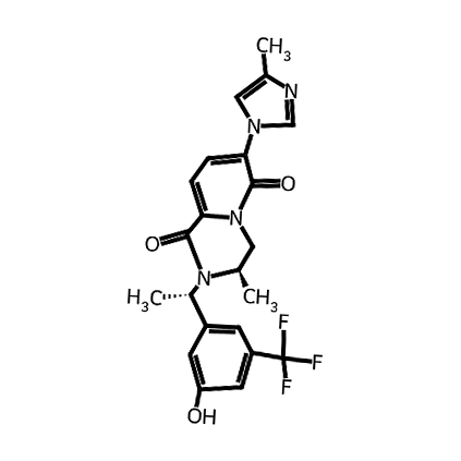 Cc1cn(-c2ccc3n(c2=O)C[C@@H](C)N([C@@H](C)c2cc(O)cc(C(F)(F)F)c2)C3=O)cn1